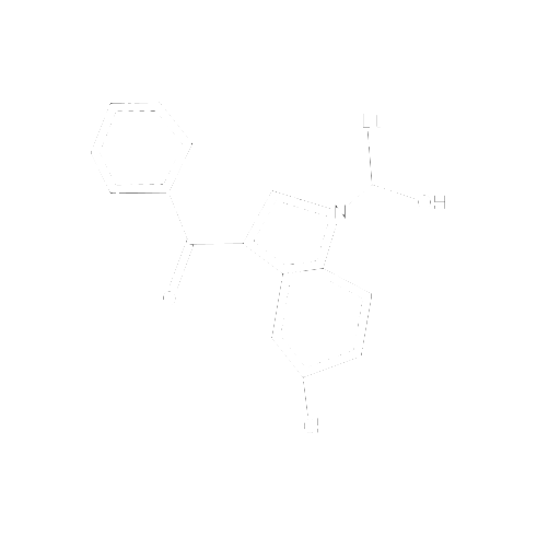 CCC(O)n1cc(C(=O)c2ccccc2)c2cc(Cl)ccc21